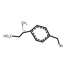 CC(C)Cc1ccc([C@@H](C)CC(=O)O)cc1